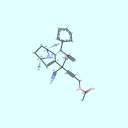 C#CC(c1ccccc1)[C@@H]1C(C(C#N)(C#N)C#CCOC(C)=O)=C[C@H]2CC[C@@H]1N2